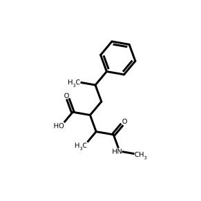 CNC(=O)C(C)C(CC(C)c1ccccc1)C(=O)O